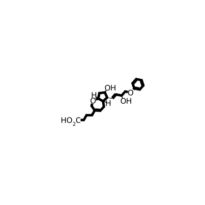 O=C(O)CCCC1=CC[C@@H]2[C@@H](C=C[C@@H](O)COc3ccccc3)[C@H](O)C[C@@H]2OC1